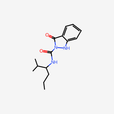 CCCC(NC(=O)n1[nH]c2ccccc2c1=O)C(C)C